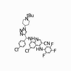 CC(C)(C)N1CCC(n2cc([C@@H](Nc3cc(Cl)cc4c(Nc5cc(F)c(F)cc5F)c(C#N)cnc34)c3ccc(Cl)cc3)nn2)CC1